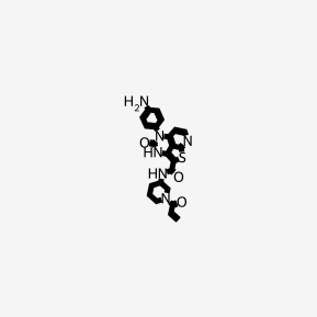 C=CC(=O)N1CCCC(NC(=O)c2sc3nccc4c3c2NC(=O)N4c2ccc(N)cc2)C1